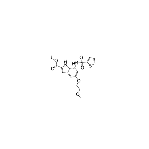 CCOC(=O)c1cc2cc(OCCOC)cc(NS(=O)(=O)c3cccs3)c2[nH]1